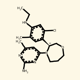 CCNc1cc(Cl)c([C@H]2COCCCN2c2cc(C)nc(N)n2)cc1C